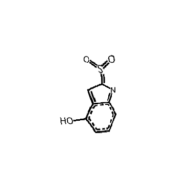 O=S(=O)=C1C=c2c(O)cccc2=N1